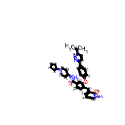 CC(C)c1ccc(-c2ccc(Oc3cc(C(=O)NC4CCN(C5CCCC5)CC4)c(F)cc3Cc3ccc[nH]c3=O)cc2)nn1